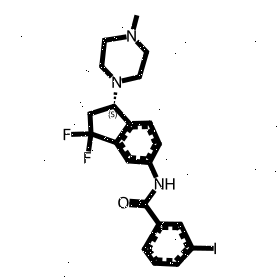 CN1CCN([C@H]2CC(F)(F)c3cc(NC(=O)c4cccc(I)c4)ccc32)CC1